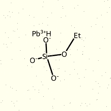 CCO[Si]([O-])([O-])[O-].[PbH+3]